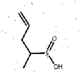 C=CCC(C)S(=O)O